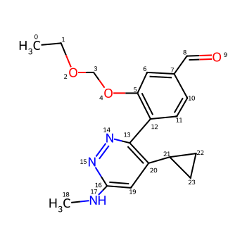 CCOCOc1cc(C=O)ccc1-c1nnc(NC)cc1C1CC1